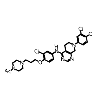 CC(=O)N1CCN(CCCOc2ccc(Nc3ncnc4c3CCN(c3ccc(C#N)c(Cl)c3)C4)cc2Cl)CC1